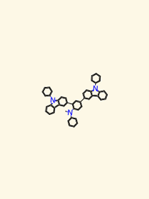 CN(c1ccccc1)c1ccc(-c2ccc3c(c2)c2ccccc2n3-c2ccccc2)cc1-c1ccc2c(c1)c1ccccc1n2-c1ccccc1